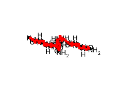 C[C@@H](NC(=O)CNCCNC(=O)c1ccc(-c2nc3cc(-c4ccc5[nH]c(-c6ccc(C(N)=O)cc6)nc5c4)ccc3[nH]2)cc1)C(=O)N[C@H](C)C(=O)N[C@H](C)C(=O)N[C@H](C)C(=O)N(CCNC(=O)c1ccc(-c2nc3cc(-c4ccc5[nH]c(-c6ccc(C(=O)NCCN(C)C)cc6)nc5c4)ccc3[nH]2)cc1)CC(N)=O